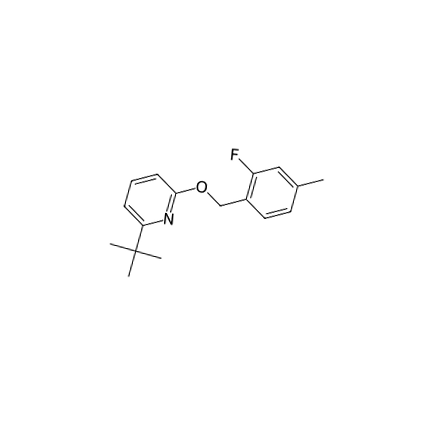 Cc1ccc(COc2cccc(C(C)(C)C)n2)c(F)c1